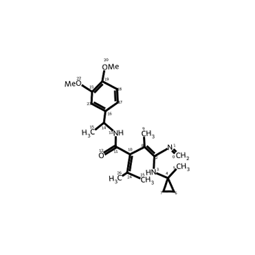 C=N/C(NC1(C)CC1)=C(\C)C(C(=O)NC(C)c1ccc(OC)c(OC)c1)=C(C)C